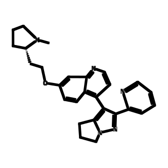 CN1CCC[C@H]1CCOc1ccc2c(-c3c(-c4ccccn4)nn4c3CCC4)ccnc2c1